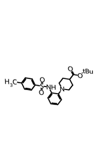 Cc1ccc(S(=O)(=O)Nc2ccccc2N2CCC(C(=O)OC(C)(C)C)CC2)cc1